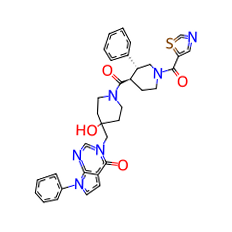 O=C(c1cncs1)N1CC[C@@H](C(=O)N2CCC(O)(Cn3cnc4c(ccn4-c4ccccc4)c3=O)CC2)[C@H](c2ccccc2)C1